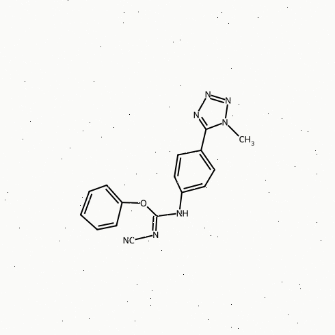 Cn1nnnc1-c1ccc(NC(=NC#N)Oc2ccccc2)cc1